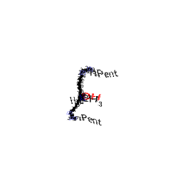 CCCCC/C=C\C/C=C\CCCCCCCCC(CO)(CCCCCCCC/C=C\C/C=C\CCCCC)N(C)C